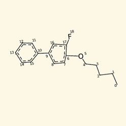 CCCCCOc1ccc(-c2cc[c]cc2)cc1F